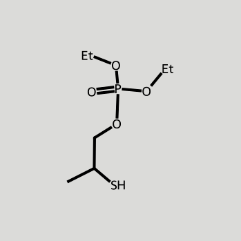 CCOP(=O)(OCC)OCC(C)S